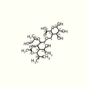 CC(=O)NC(C(COCC1C(C(=O)O)OC(O)C(O)C1O)OC(C)CO)C(CC(C)C)C(C)O